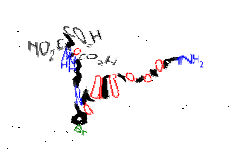 NCCOCCOCCOCCOCCOCCC(=O)N(CCCC[C@H](NC(=O)N[C@@H](CCC(=O)O)C(=O)O)C(=O)O)Cc1ccc(Br)cc1